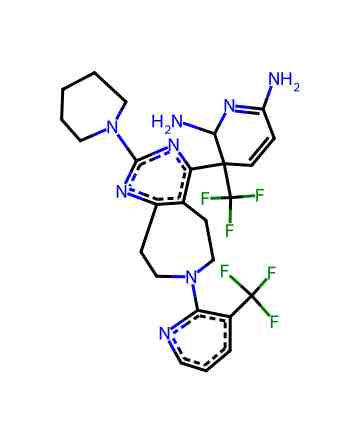 NC1=NC(N)C(c2nc(N3CCCCC3)nc3c2CCN(c2ncccc2C(F)(F)F)CC3)(C(F)(F)F)C=C1